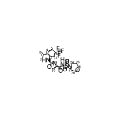 CC(C)c1ccc(C(F)(F)F)cc1Nc1nc(C(=O)NS(=O)(=O)N2CCCOCC2)co1